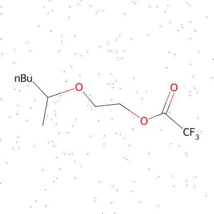 CCCCC(C)OCCOC(=O)C(F)(F)F